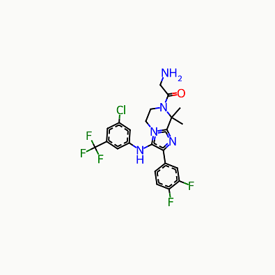 CC1(C)c2nc(-c3ccc(F)c(F)c3)c(Nc3cc(Cl)cc(C(F)(F)F)c3)n2CCN1C(=O)CN